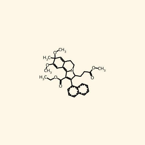 CCOC(=O)C1=C(c2cccc3ccccc23)C(CCC(=O)OC)N2CCC3=CC(C)(OC)C(OC)=CC3=C12